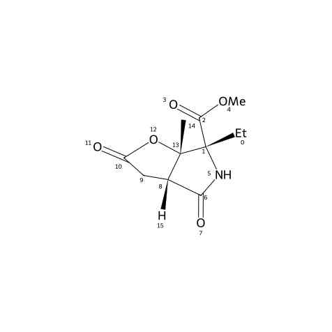 CC[C@@]1(C(=O)OC)NC(=O)[C@@H]2CC(=O)O[C@@]21C